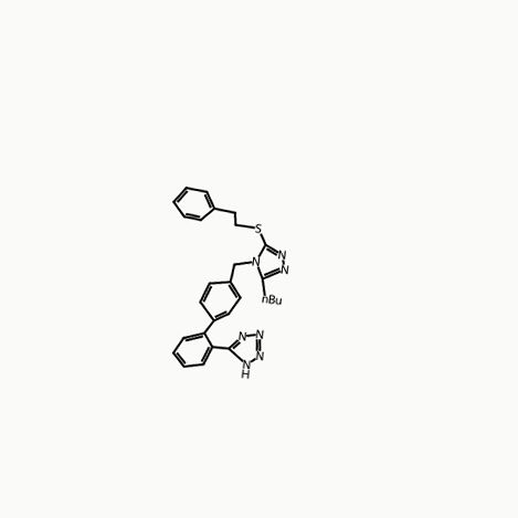 CCCCc1nnc(SCCc2ccccc2)n1Cc1ccc(-c2ccccc2-c2nnn[nH]2)cc1